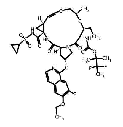 CCOc1cc2ccnc(O[C@@H]3C[C@H]4C(=O)N[C@]5(C(=O)NS(=O)(=O)C6CC6)C[C@H]5C=CCC[C@@H](C)C[C@@H](CC)[C@H](NC(=O)OC(C)(C)C(C)(F)F)C(=O)N4C3)c2cc1F